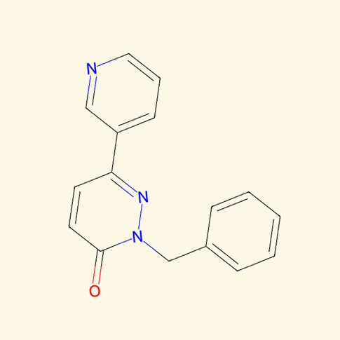 O=c1ccc(-c2cccnc2)nn1Cc1ccccc1